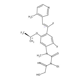 CCN(C(=N)CO)C(=O)N(C)c1cc(O[C@@H](C)C(F)(F)F)c(/C(F)=C/c2cnccc2C)cc1F